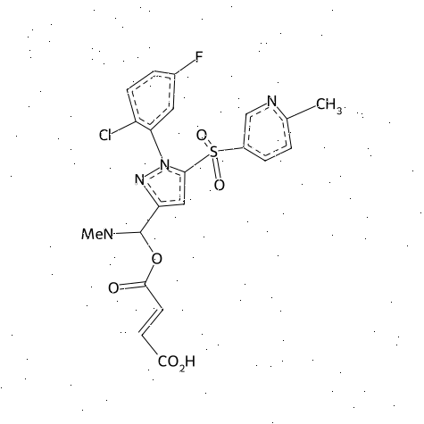 CNC(OC(=O)/C=C/C(=O)O)c1cc(S(=O)(=O)c2ccc(C)nc2)n(-c2cc(F)ccc2Cl)n1